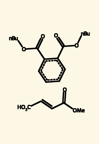 CCCCOC(=O)c1ccccc1C(=O)OCCCC.COC(=O)/C=C/C(=O)O